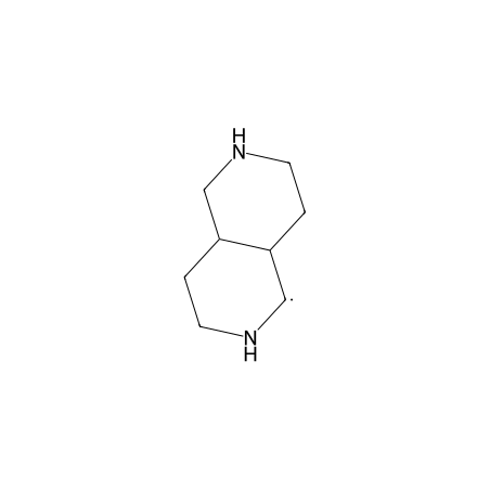 [CH]1NCCC2CNCCC12